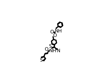 N#Cc1c(NC(=O)C=Cc2ccsc2)sc2c1CCC(COC(=O)NCc1ccccc1)C2